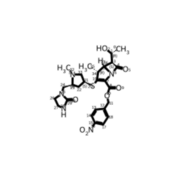 C[C@@H](O)[C@H]1C(=O)N2C(C(=O)OCc3ccc([N+](=O)[O-])cc3)=C(S[C@H]3C[C@@H](CN4CCNC4=O)N(C)C3)[C@H](C)[C@H]12